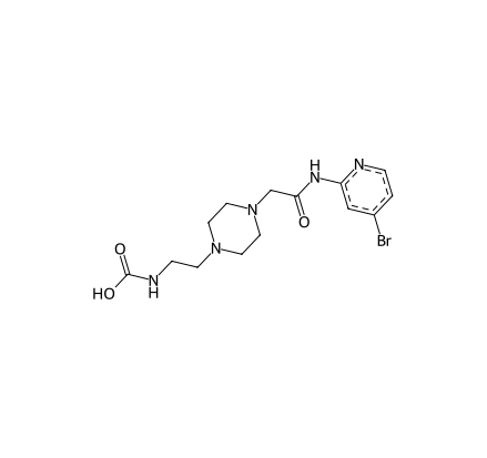 O=C(O)NCCN1CCN(CC(=O)Nc2cc(Br)ccn2)CC1